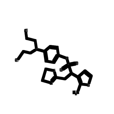 Nc1sccc1C(CC1=NCCS1)S(=O)(=O)Oc1ccc(N(CCCl)CCCl)cc1